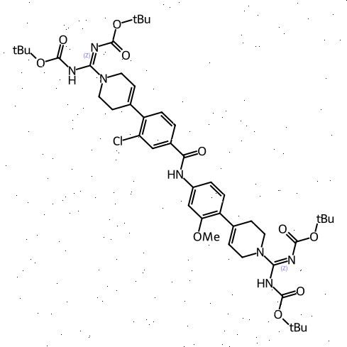 COc1cc(NC(=O)c2ccc(C3=CCN(/C(=N\C(=O)OC(C)(C)C)NC(=O)OC(C)(C)C)CC3)c(Cl)c2)ccc1C1=CCN(/C(=N\C(=O)OC(C)(C)C)NC(=O)OC(C)(C)C)CC1